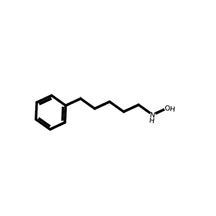 ONCCCC[CH]c1ccccc1